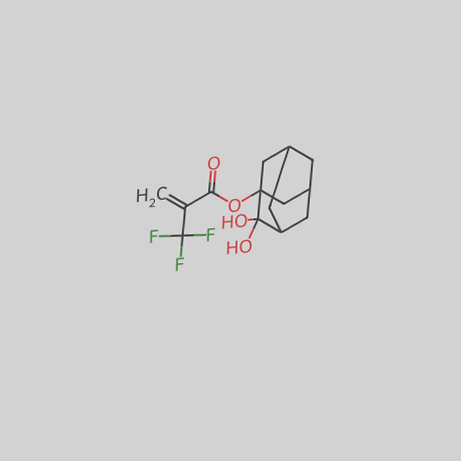 C=C(C(=O)OC12CC3CC(CC(C3)C1(O)O)C2)C(F)(F)F